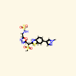 Cn1cc(-c2ccc3nc(C(c4nnc(CN[SH](=O)=O)o4)S(C)(=O)=O)sc3c2)cn1